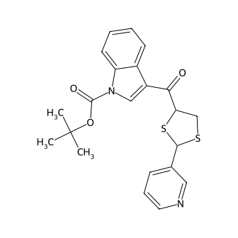 CC(C)(C)OC(=O)n1cc(C(=O)C2CSC(c3cccnc3)S2)c2ccccc21